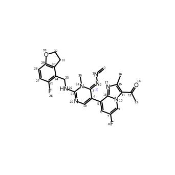 C=N/N=c1/c(-c2cc(F)cn3c(C(C)=O)c(C)nc23)cnc(NCc2c(F)ccc3c2CCO3)n1C